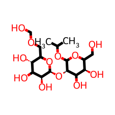 CC(C)OC1OC(CO)[C@@H](O)C(O)[C@@H]1O[C@@H]1OC(COCO)[C@@H](O)C(O)[C@@H]1O